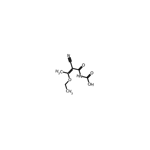 CCO/C(C)=C(/C#N)C(=O)NC(=O)O